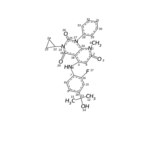 Cn1c(=O)cc(Nc2ccc(C(C)(C)O)cc2F)c2c(=O)n(C3CC3)c(=O)n(-c3ccccc3)c21